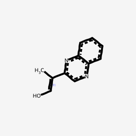 C/C(=C\O)c1cnc2ccccc2n1